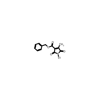 CCN1C(=O)C(C)=C(C(=O)OCc2ccccc2)C1=O